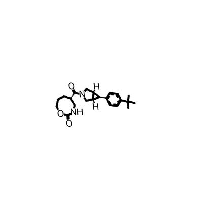 CC(C)(C)c1ccc([C@H]2[C@@H]3CN(C(=O)[C@@H]4CCCOC(=O)NC4)C[C@@H]32)cc1